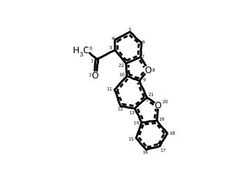 CC(=O)c1cccc2oc3c(ccc4c5ccccc5oc43)c12